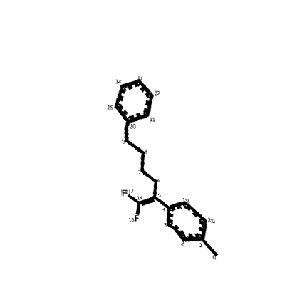 Cc1ccc(C(CCCCc2ccccc2)=C(F)F)cc1